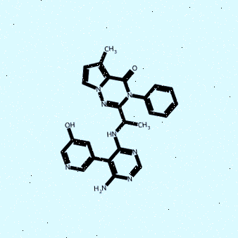 Cc1ccn2nc(C(C)Nc3ncnc(N)c3-c3cncc(O)c3)n(-c3ccccc3)c(=O)c12